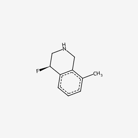 Cc1cccc2c1CNC[C@@H]2F